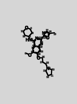 COc1cc2c(NC3CCOCC3)nc(-c3ncc(C)o3)nc2cc1OCCCN1CCCC1